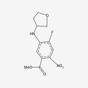 COC(=O)c1cc(NC2CCOC2)c(F)cc1[N+](=O)[O-]